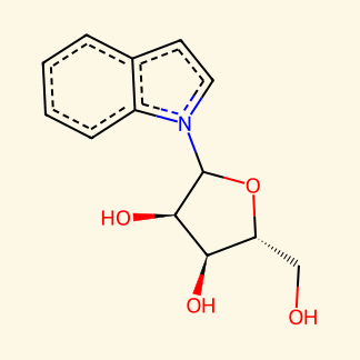 OC[C@H]1OC(n2ccc3ccccc32)[C@H](O)[C@@H]1O